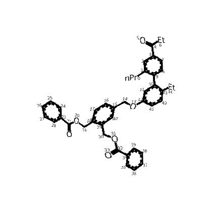 CCCc1cc(C(=O)CC)ccc1-c1cc(OCc2ccc(COC(=O)c3ccccc3)c(COC(=O)c3ccccc3)c2)ccc1CC